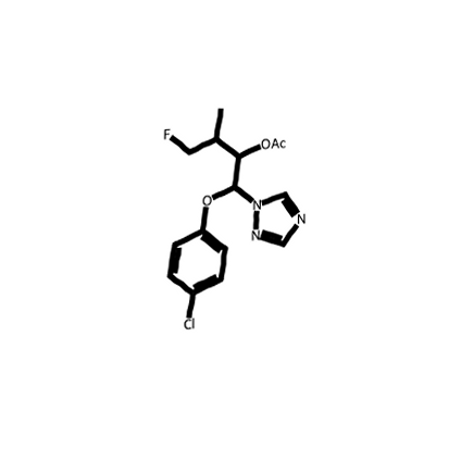 CC(=O)OC(C(C)CF)C(Oc1ccc(Cl)cc1)n1cncn1